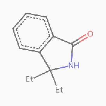 CCC1(CC)NC(=O)c2ccccc21